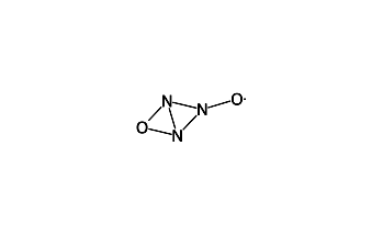 [O]n1n2on12